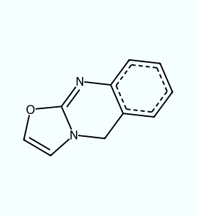 C1=CN2Cc3ccccc3N=C2O1